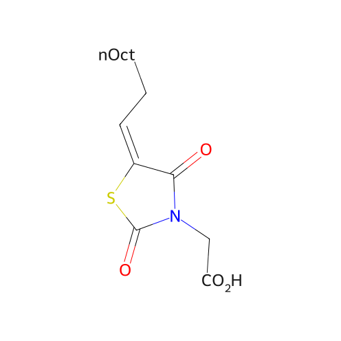 CCCCCCCCC/C=C1/SC(=O)N(CC(=O)O)C1=O